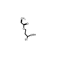 C=CC(=O)OCCC(CC)SC